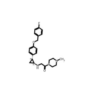 CN1CCN(C(=O)CN[C@H]2C[C@@H]2c2ccc(OCc3ccc(F)cc3)cc2)CC1